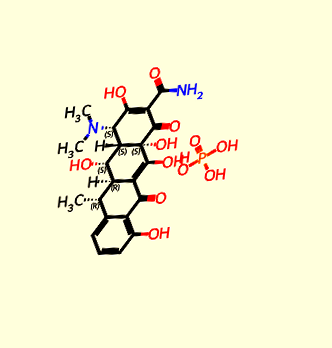 C[C@H]1c2cccc(O)c2C(=O)C2=C(O)[C@]3(O)C(=O)C(C(N)=O)=C(O)[C@@H](N(C)C)[C@H]3[C@@H](O)[C@@H]21.O=P(O)(O)O